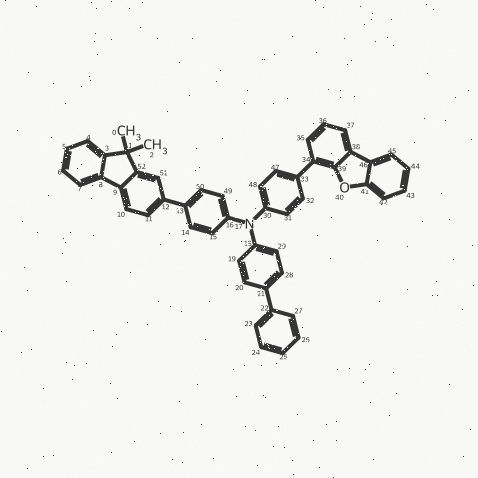 CC1(C)c2ccccc2-c2ccc(-c3ccc(N(c4ccc(-c5ccccc5)cc4)c4ccc(-c5cccc6c5oc5ccccc56)cc4)cc3)cc21